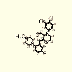 CN1CCN(c2ccc(F)cc2C=C2SCCN(c3ccc(Cl)c(Cl)c3)C2C=O)CC1